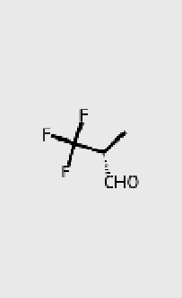 C[C@H](C=O)C(F)(F)F